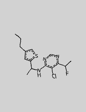 CCCc1csc(C(C)Nc2ncnc(C(C)F)c2Cl)c1